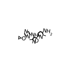 Cc1nc(-c2onc(C)c2Nc2cncc(OC3CC3)n2)ccc1N